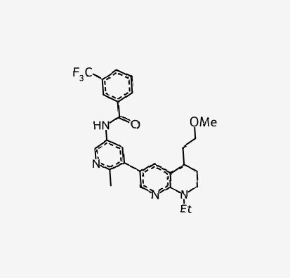 CCN1CCC(CCOC)c2cc(-c3cc(NC(=O)c4cccc(C(F)(F)F)c4)cnc3C)cnc21